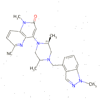 CC1CN(c2cc(=O)n(C)c3ccc(C#N)nc23)[C@@H](C)CN1Cc1cccc2c1cnn2C